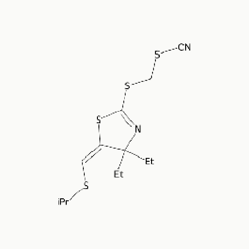 CCC1(CC)N=C(SCSC#N)S/C1=C/SC(C)C